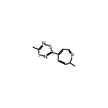 CC1=NSC(C2=CC=PC(C)C=C2)=NS1